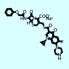 O=C(COc1ccccc1)N[C@@H]1C(=O)N2C(C(=O)[O-])=C(CSC(=O)c3cn(C4CC4)c4cc(N5CCNCC5)c(F)cc4c3=O)CS[C@H]12.[Na+]